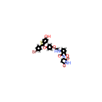 O=C1CCC(N2C(=O)c3cccc(NCCOc4ccc(Oc5c(-c6ccc(Br)cc6)sc6cc(O)ccc56)cc4)c3C2=O)C(=O)N1